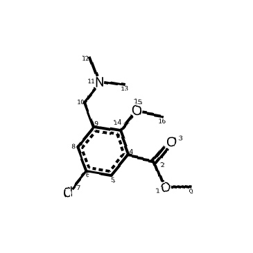 COC(=O)c1cc(Cl)cc(CN(C)C)c1OC